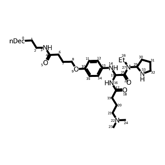 CCCCCCCCCCCCNC(=O)CCCOc1ccc(NC(NC(=O)CCCN(C)C)C(=O)N(CC)C2CCCN2)cc1